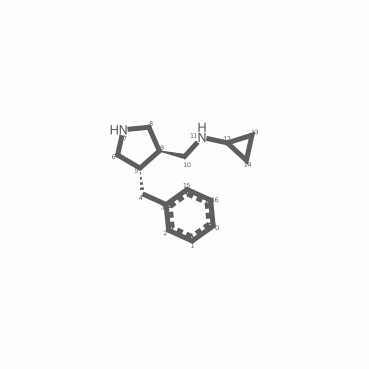 c1ccc(C[C@@H]2CNC[C@H]2CNC2CC2)cc1